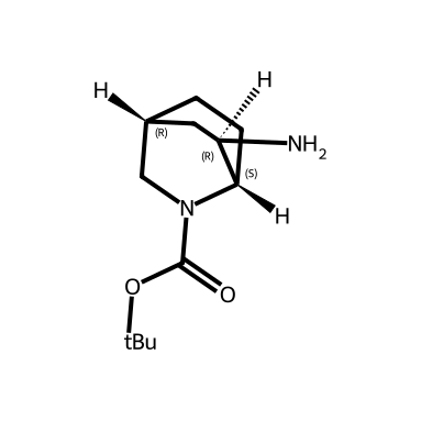 CC(C)(C)OC(=O)N1C[C@@H]2CC[C@H]1[C@H](N)C2